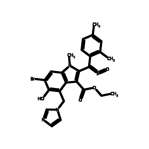 CCOC(=O)c1c(C(=S=O)c2ccc(C)cc2C)n(C)c2cc(Br)c(O)c(Cn3ccnc3)c12